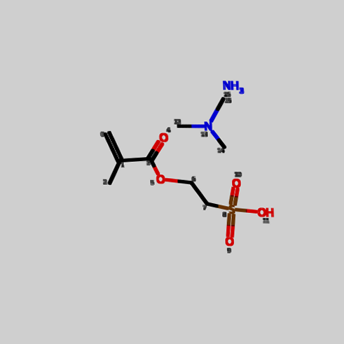 C=C(C)C(=O)OCCS(=O)(=O)O.CN(C)C.N